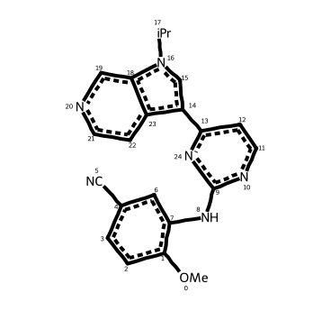 COc1ccc(C#N)cc1Nc1nccc(-c2cn(C(C)C)c3cnccc23)n1